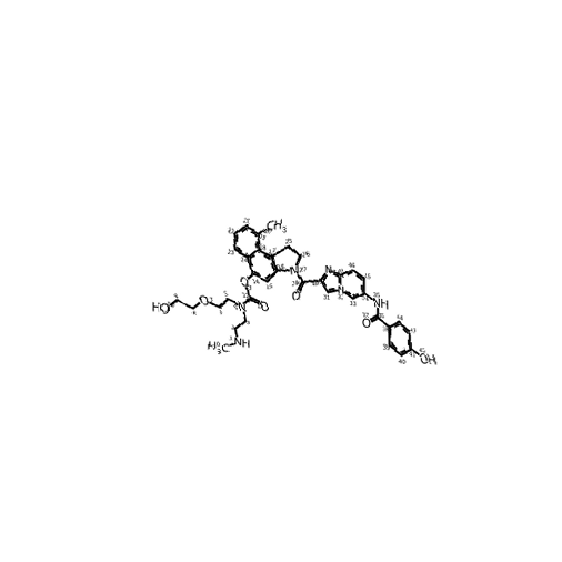 CNCCN(CCOCCO)C(=O)Oc1cc2c(c3c(C)cccc13)CCN2C(=O)c1cn2cc(NC(=O)c3ccc(O)cc3)ccc2n1